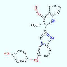 Cc1c(-c2cn3cc(Oc4ccc(O)cc4)ccc3n2)[nH]c2ccccc2c1=O